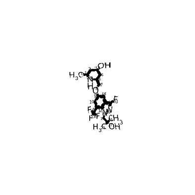 CC1CC(O)CC(COc2cc(C(F)(F)F)c3c(c2)c(F)nn3CC(C)(C)O)N1